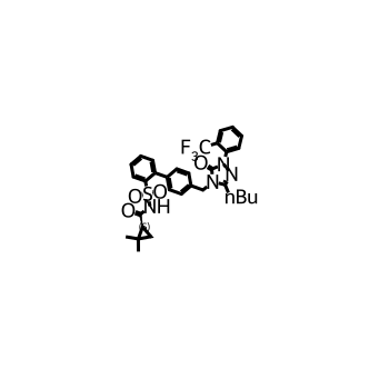 CCCCc1nn(-c2ccccc2C(F)(F)F)c(=O)n1Cc1ccc(-c2ccccc2S(=O)(=O)NC(=O)[C@H]2CC2(C)C)cc1